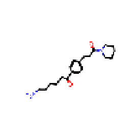 NCCCCCC(=O)c1ccc(CCC(=O)N2CCCCC2)cc1